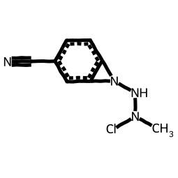 CN(Cl)NN1c2ccc(C#N)cc21